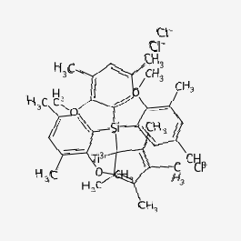 COc1c(C)cc(C)cc1[Si](c1cc(C)cc(C)c1OC)(c1cc(C)cc(C)c1OC)[C]1([Ti+3])C(C)=C(C)C(C)=C1C.[Cl-].[Cl-].[Cl-]